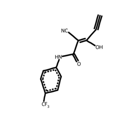 C#C/C(O)=C(\C#N)C(=O)Nc1ccc(C(F)(F)F)cc1